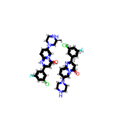 C[C@H]1CN(c2ccc3nc(-c4cc(F)cc(Cl)c4)cc(=O)n3c2)CCN1.O=c1cc(-c2cc(F)cc(Cl)c2)nc2ccc(N3CCNCC3)cn12